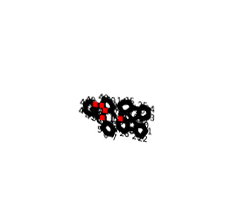 c1ccc(-c2ccccc2N(Cc2cccc3c2C2(c4ccccc4-c4ccccc42)c2ccccc2-3)c2cccc3c2oc2ccccc23)cc1